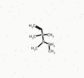 C=C[Si](C)(C)N(C)[SiH2]C